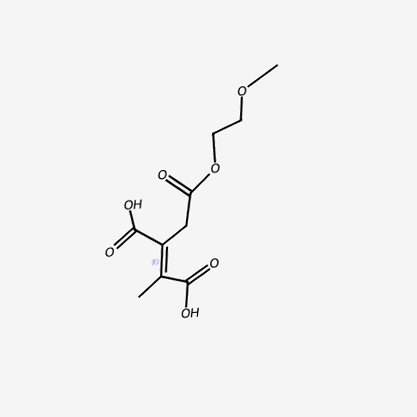 COCCOC(=O)C/C(C(=O)O)=C(/C)C(=O)O